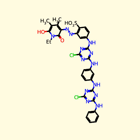 CCn1c(O)c(C)c(C)c(/N=N/c2cc(Nc3nc(Cl)nc(Nc4cccc(Nc5nc(Cl)nc(Nc6ccccc6)n5)c4)n3)ccc2S(=O)(=O)O)c1=O